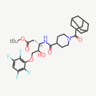 CC(C)(C)OC(=O)C[C@H](NC(=O)C1CCN(C(=O)C23CC4CC(CC(C4)C2)C3)CC1)C(O)COc1c(F)c(F)cc(F)c1F